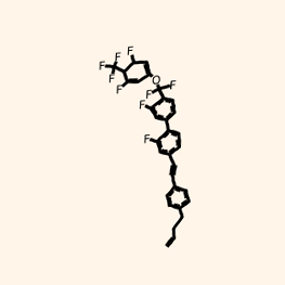 C=CCCc1ccc(C#Cc2ccc(-c3ccc(C(F)(F)OC4=CC(F)C(C(F)(F)F)C(F)=C4)c(F)c3)c(F)c2)cc1